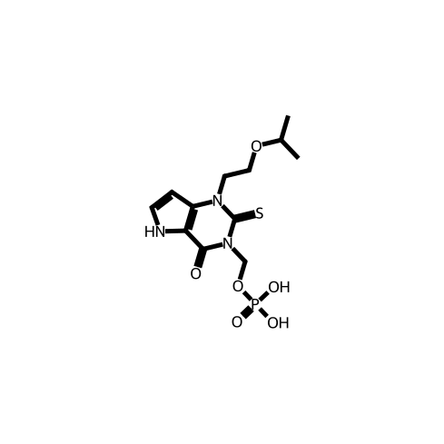 CC(C)OCCn1c(=S)n(COP(=O)(O)O)c(=O)c2[nH]ccc21